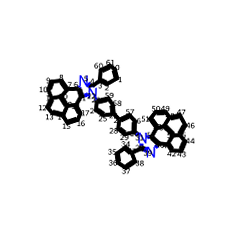 c1ccc(-c2nc3c4cccc5ccc6cccc(c6c54)c3n2-c2ccc(-c3ccc(-n4c(-c5ccccc5)nc5c6cccc7ccc8cccc(c8c76)c54)cc3)cc2)cc1